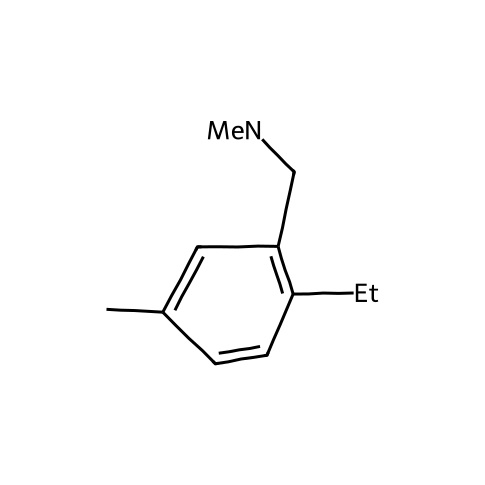 CCc1ccc(C)cc1CNC